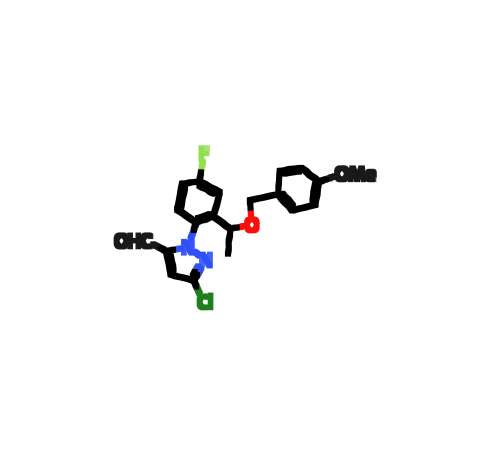 COc1ccc(COC(C)c2cc(F)ccc2-n2nc(Cl)cc2C=O)cc1